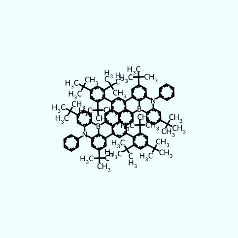 CC(C)(C)c1ccc2c(c1)N(c1ccccc1)c1cc(C(C)(C)C)cc3c1B2c1cc2c(-c4c(C(C)(C)C)cc(C(C)(C)C)cc4C(C)(C)C)cc4c5c(cc6c(-c7c(C(C)(C)C)cc(C(C)(C)C)cc7C(C)(C)C)cc-3c1c6c25)B1c2ccc(C(C)(C)C)cc2N(c2ccccc2)c2cc(C(C)(C)C)cc-4c21